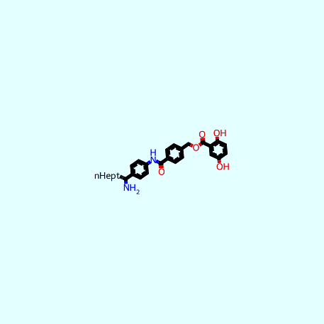 CCCCCCCC(N)c1ccc(NC(=O)c2ccc(COC(=O)c3cc(O)ccc3O)cc2)cc1